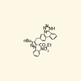 CCCCc1nn(-c2ccccc2[N+](=O)[O-])c(C(=O)OCC)c1Cc1ccc(-c2ccccc2-c2nnn[nH]2)cc1